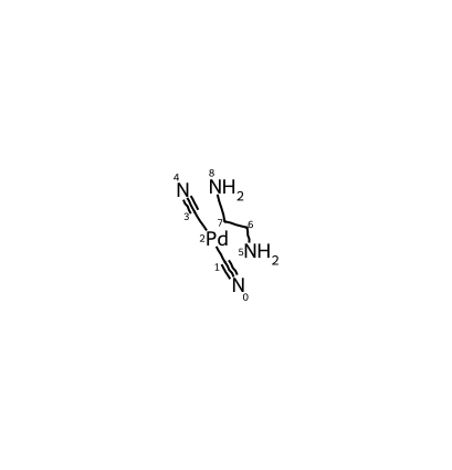 N#[C][Pd][C]#N.NCCN